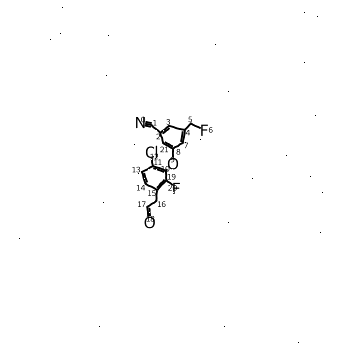 N#Cc1cc(CF)cc(Oc2c(Cl)ccc(CC=O)c2F)c1